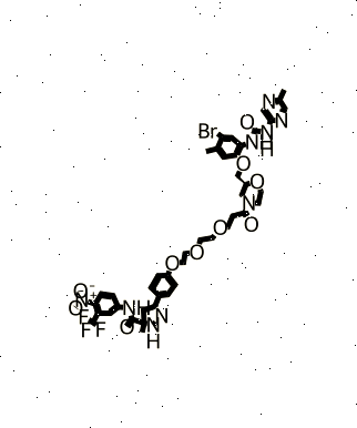 Cc1cnc(NC(=O)Nc2cc(Br)c(C)cc2OC[C@@H]2CN(C(=O)CCOCCOCCOc3ccc(C4=NNC(C)(C(=O)Nc5ccc([N+](=O)[O-])c(C(F)(F)F)c5)C4)cc3)CCO2)cn1